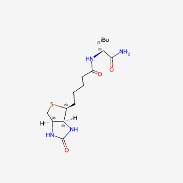 CC[C@H](C)[C@H](NC(=O)CCCC[C@@H]1SC[C@@H]2NC(=O)N[C@@H]21)C(N)=O